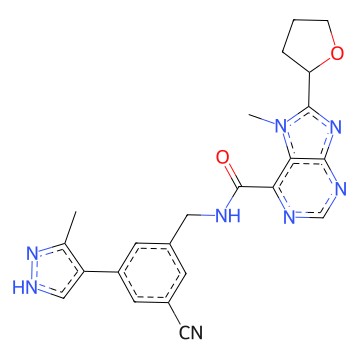 Cc1n[nH]cc1-c1cc(C#N)cc(CNC(=O)c2ncnc3nc(C4CCCO4)n(C)c23)c1